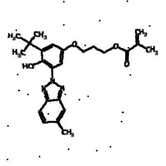 C=C(C)C(=O)OCCCOc1cc(-n2nc3ccc(C)cc3n2)c(O)c(C(C)(C)C)c1